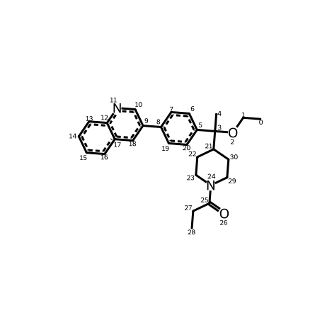 CCOC(C)(c1ccc(-c2cnc3ccccc3c2)cc1)C1CCN(C(=O)CC)CC1